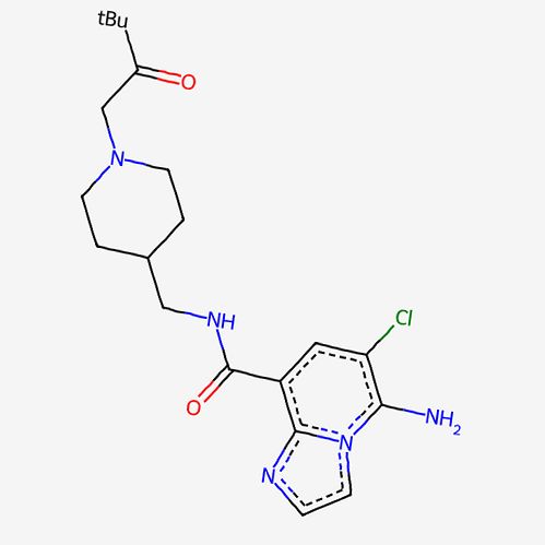 CC(C)(C)C(=O)CN1CCC(CNC(=O)c2cc(Cl)c(N)n3ccnc23)CC1